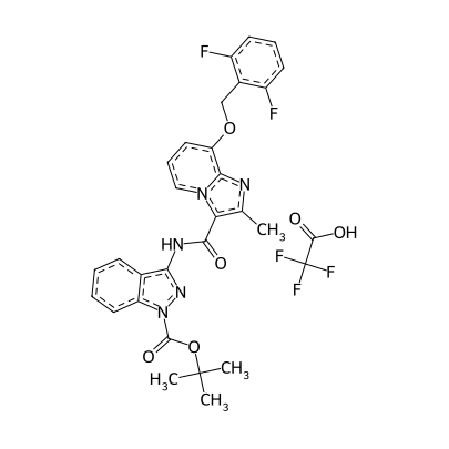 Cc1nc2c(OCc3c(F)cccc3F)cccn2c1C(=O)Nc1nn(C(=O)OC(C)(C)C)c2ccccc12.O=C(O)C(F)(F)F